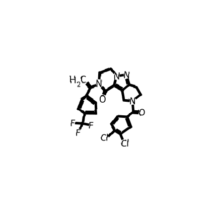 C=C(c1ccc(C(F)(F)F)cc1)N1CCn2nc3c(c2C1=O)CN(C(=O)c1ccc(Cl)c(Cl)c1)CC3